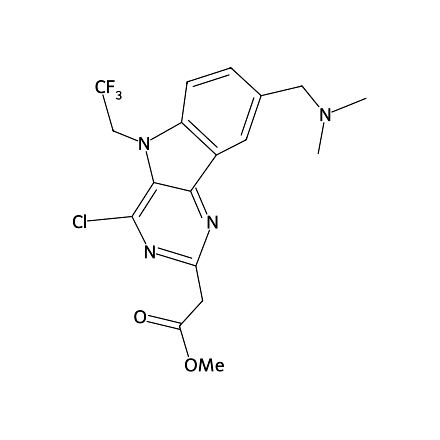 COC(=O)Cc1nc(Cl)c2c(n1)c1cc(CN(C)C)ccc1n2CC(F)(F)F